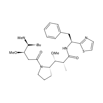 CC[C@H](C)[C@H](NC)[C@@H](CC(=O)N1CCC[C@H]1[C@H](OC)[C@@H](C)C(=O)N[C@@H](Cc1ccccc1)c1nccs1)OC